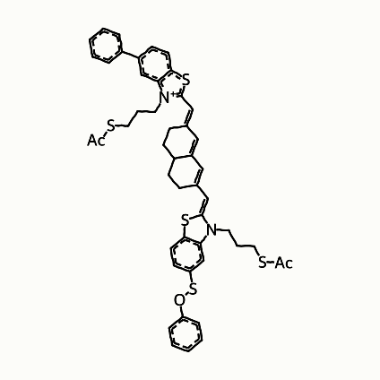 CC(=O)SCCCN1/C(=C/C2=CC3=C/C(=C/c4sc5ccc(-c6ccccc6)cc5[n+]4CCCSC(C)=O)CCC3CC2)Sc2ccc(SOc3ccccc3)cc21